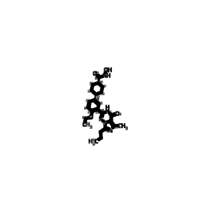 CCCc1nc(C)c2c(=O)[nH]c(-c3cc([C@H]4CC[C@H](C(=O)NO)CC4)ccc3OCC)nn12